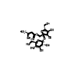 N[C@@H](CC(=O)OC[C@@]1(O[C@H]2O[C@H](CO)[C@@H](O)[C@H](O)[C@H]2O)O[C@H](CO)[C@@H](O)[C@@H]1O)C(=O)O